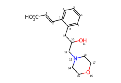 O=C(O)C=Cc1ccccc1CC(O)CN1CCOCC1